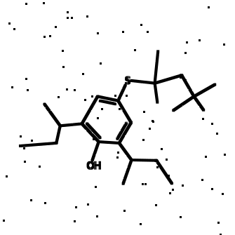 CCC(C)c1cc(SC(C)(C)CC(C)(C)C)cc(C(C)CC)c1O